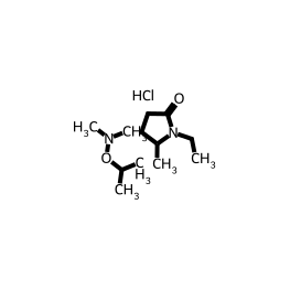 CC(C)ON(C)C.CCN1C(=O)CCC1C.Cl